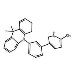 CC1(C)C2=C(CCC=C2)N(c2cccc(C3=CC=C(C#N)NC3)c2)c2ccccc21